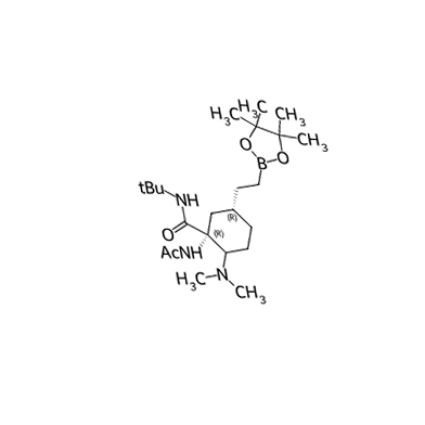 CC(=O)N[C@]1(C(=O)NC(C)(C)C)C[C@H](CCB2OC(C)(C)C(C)(C)O2)CCC1N(C)C